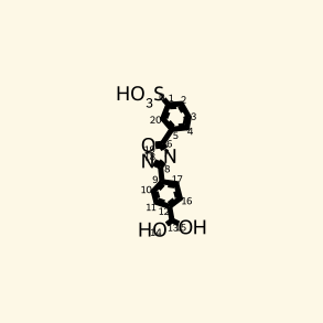 O=S(=O)(O)c1cccc(-c2nc(-c3ccc(C(O)O)cc3)no2)c1